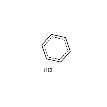 Cl.[c]1ccccc1